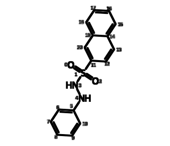 O=S(=O)(NNc1ccccc1)c1ccc2ccccc2c1